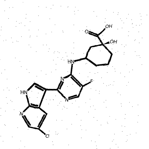 O=C(O)[C@]1(O)CCCC(Nc2nc(-c3c[nH]c4ncc(Cl)cc34)ncc2F)C1